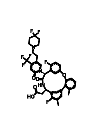 Cc1cc2cc(c1F)[C@@H](CC(=O)O)NC(=O)[C@H](n1cc(CCN3CCC(F)(F)CC3)c(C(F)(F)F)cc1=O)c1cc(ccc1F)Oc1cccc(C)c1-2